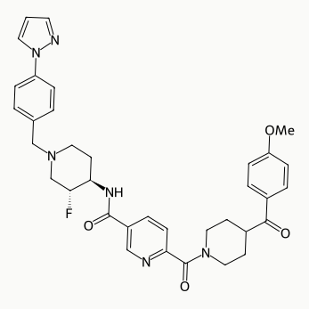 COc1ccc(C(=O)C2CCN(C(=O)c3ccc(C(=O)N[C@@H]4CCN(Cc5ccc(-n6cccn6)cc5)C[C@H]4F)cn3)CC2)cc1